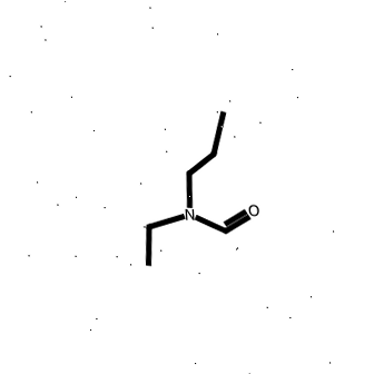 C[CH]N(C=O)CCC